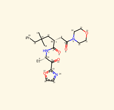 CC[C@H](NC(=O)[C@@H](CC(=O)N1CCOCC1)CC(C)(C)CC(C)C)C(=O)c1ncco1